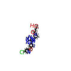 Nc1ncnc2c1c(-c1ccc(Oc3ccc(Cl)cn3)cc1)nn2[C@@H]1CCCN(C(=O)/C=C/CO)C1